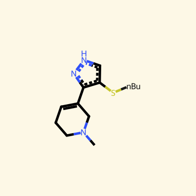 CCCCSc1c[nH]nc1C1=CCCN(C)C1